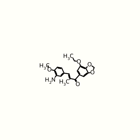 CCOc1cc(C(=O)C(C)=Cc2ccc(OC)c(N)c2)cc2c1OCO2